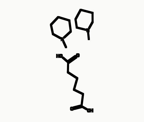 CN1CCCCC1.CN1CCCCC1.O=C(O)CCCCC(=O)O